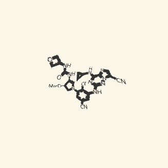 CO[C@H]1CN(c2cc(C#N)cc(Nc3nc(NC4CC4)c4ncc(C#N)n4n3)c2Cl)C[C@@H]1NC(=O)NC1COC1